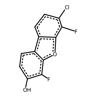 Oc1ccc2c(oc3c(F)c(Cl)ccc32)c1F